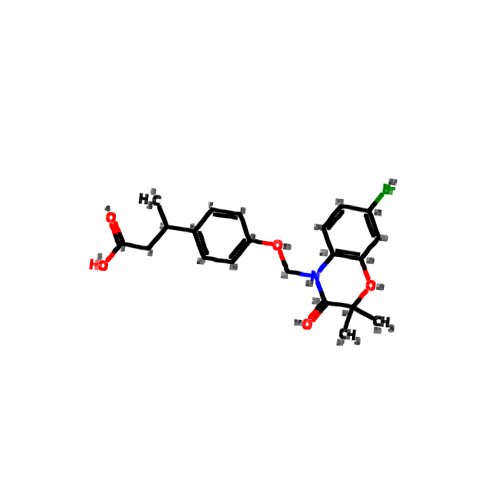 CC(CC(=O)O)c1ccc(OCN2C(=O)C(C)(C)Oc3cc(Br)ccc32)cc1